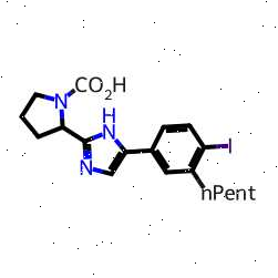 CCCCCc1cc(-c2cnc(C3CCCN3C(=O)O)[nH]2)ccc1I